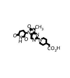 Cn1c(=O)n(C2CCC(=O)NC2=O)c2cnc(N3CCC(CC(=O)O)CC3)nc21